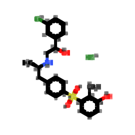 C[C@H](Cc1ccc(S(=O)(=O)c2cccc(O)c2C(=O)O)cc1)NC[C@H](O)c1cccc(Cl)c1.Cl